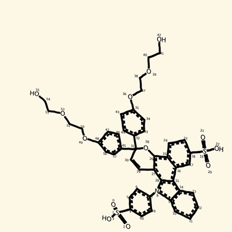 O=S(=O)(O)c1ccc(-n2c3ccccc3c3c4cc(S(=O)(=O)O)ccc4c4c(c32)C=CC(c2ccc(OCCOCCO)cc2)(c2ccc(OCCOCCO)cc2)O4)cc1